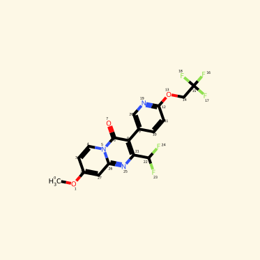 COc1ccn2c(=O)c(-c3ccc(OCC(F)(F)F)nc3)c(C(F)F)nc2c1